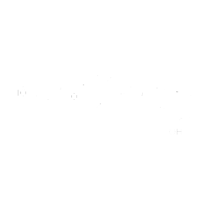 C=C1/C(=C\C=C2/CCCC3(C)C(COCCC(C)(C)O)CCC23)CCCC1O